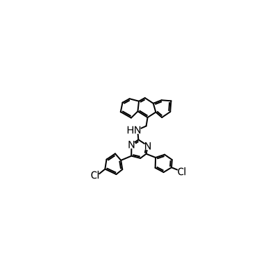 Clc1ccc(-c2cc(-c3ccc(Cl)cc3)nc(NCc3c4ccccc4cc4ccccc34)n2)cc1